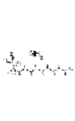 CCCCCCCCCCC(C)C(C)(C)F.N